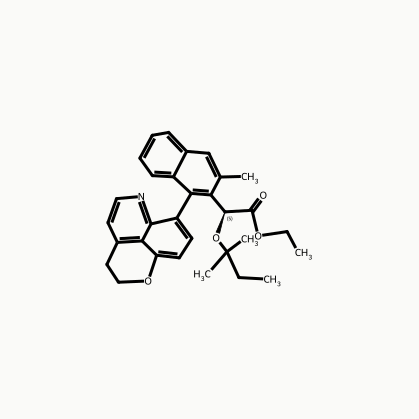 CCOC(=O)[C@@H](OC(C)(C)CC)c1c(C)cc2ccccc2c1-c1ccc2c3c(ccnc13)CCO2